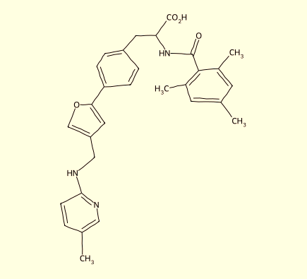 Cc1ccc(NCc2coc(-c3ccc(CC(NC(=O)c4c(C)cc(C)cc4C)C(=O)O)cc3)c2)nc1